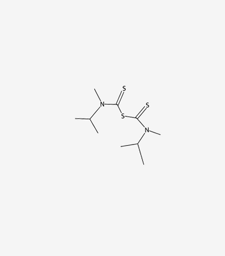 CC(C)N(C)C(=S)SC(=S)N(C)C(C)C